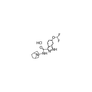 CN1C2CCC1CC(NC(=O)c1n[nH]c3cc(OC(F)F)ccc13)C2.Cl